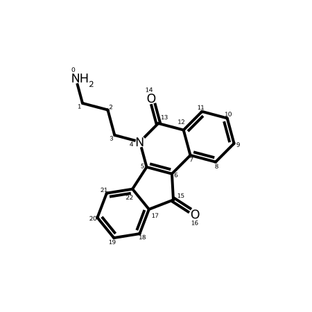 NCCCn1c2c(c3ccccc3c1=O)C(=O)c1ccccc1-2